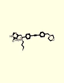 O=c1[nH]cnc(C[C@H](NCCCF)c2ccc(C#Cc3ccc(CN4CCOCC4)cc3)cc2)c1O